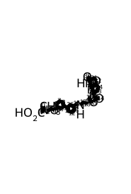 CN(CCOc1cccc(-c2cccc(CNCC[C@H]3CN(c4ccc5c(n4)NC(=O)CO5)C(=O)O3)c2)c1)C(=O)O